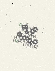 C/[C](c1ccc2ccccc2c1)=[Zr+2](/[C]1=CC(C2(C)C3CC4CC(C3)CC2C4)=CC1C)[CH]1c2cc(-c3ccccc3)c(C(C)(C)C)cc2-c2cc(C(C)(C)C)c(-c3ccccc3)cc21.[Cl-].[Cl-]